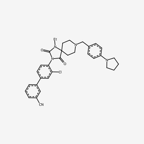 CCN1C(=O)N(c2ccc(-c3cccc(C#N)c3)cc2Cl)C(=O)C12CCN(Cc1ccc(N3CCCC3)cc1)CC2